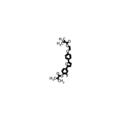 C=C(C)C(=O)O/C=C\Oc1ccc(-c2ccc(-c3ccc(OC(=O)C(=C)C)c(F)c3)o2)cc1